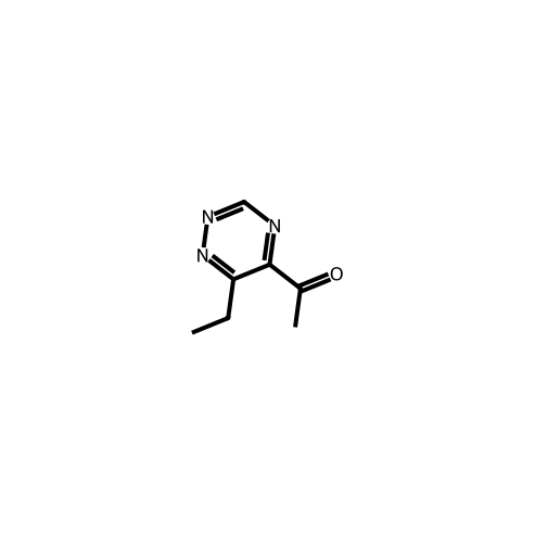 CCc1nncnc1C(C)=O